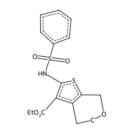 CCOC(=O)c1c(NS(=O)(=O)c2ccccc2)sc2c1CCOC2